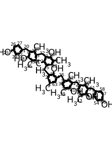 Cc1cc(Cc2cc(C)c(O)c(Cc3cc(C)c(O)c(Cc4ccc(O)cc4)c3C)c2C)c(O)c(Cc2cc(C)c(O)c(Cc3cc(C)c(O)c(Cc4ccc(O)cc4)c3C)c2C)c1